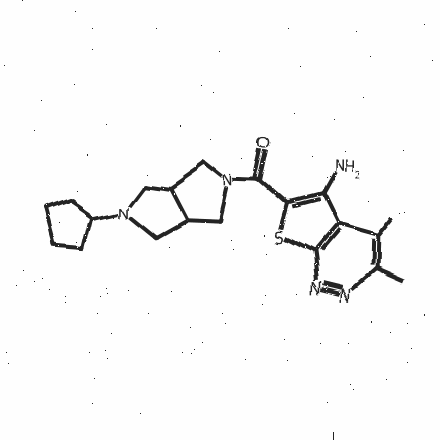 Cc1nnc2sc(C(=O)N3CC4CN(C5CCCC5)CC4C3)c(N)c2c1C